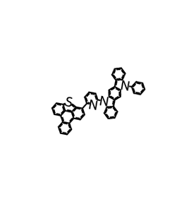 c1ccc(-n2c3ccccc3c3cc4c(cc32)c2ccccc2n4-c2cccc(-c3ccc4c5ccccc5c5cccc6sc3c4c65)n2)cc1